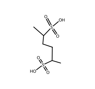 CC(CCC(C)S(=O)(=O)O)S(=O)(=O)O